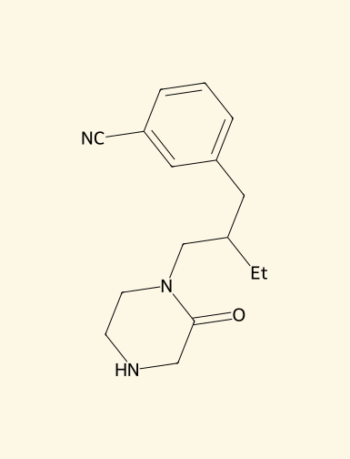 CCC(Cc1cccc(C#N)c1)CN1CCNCC1=O